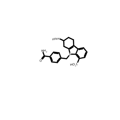 CCCCCCC1CCc2c(n(Cc3ccc(C(N)=O)cc3)c3c(C(=O)O)cccc23)C1